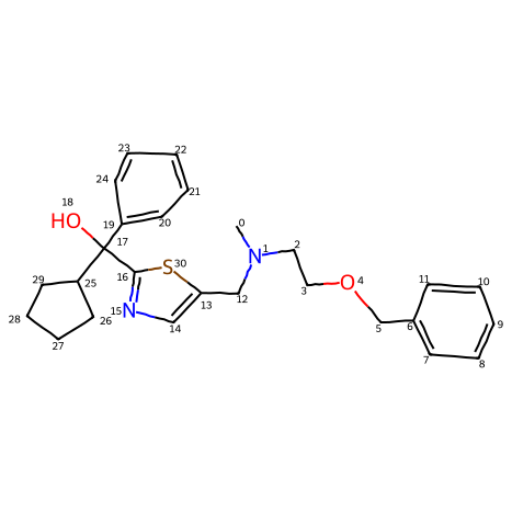 CN(CCOCc1ccccc1)Cc1cnc(C(O)(c2ccccc2)C2CCCC2)s1